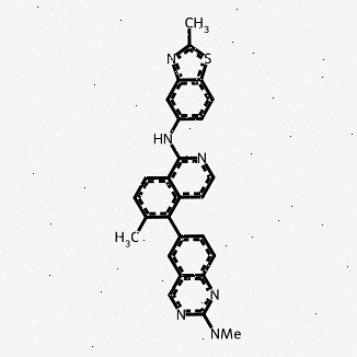 CNc1ncc2cc(-c3c(C)ccc4c(Nc5ccc6sc(C)nc6c5)nccc34)ccc2n1